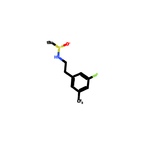 CC(C)(C)[S+]([O-])NCCc1cc(F)cc(C(F)(F)F)c1